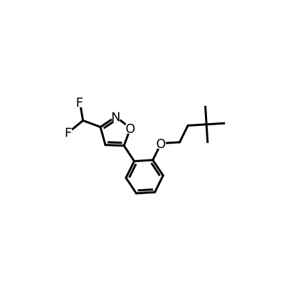 CC(C)(C)CCOc1ccccc1-c1cc(C(F)F)no1